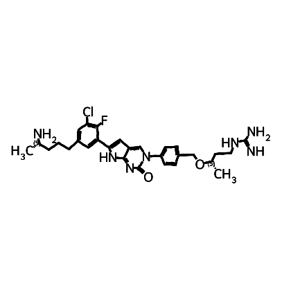 C[C@H](N)CCCc1cc(Cl)c(F)c(-c2cc3cn(-c4ccc(CO[C@@H](C)CCNC(=N)N)cc4)c(=O)nc3[nH]2)c1